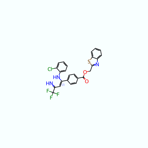 N=C(/C=C(\Nc1ccccc1Cl)c1ccc(C(=O)OCc2nc3ccccc3s2)cc1)C(F)(F)F